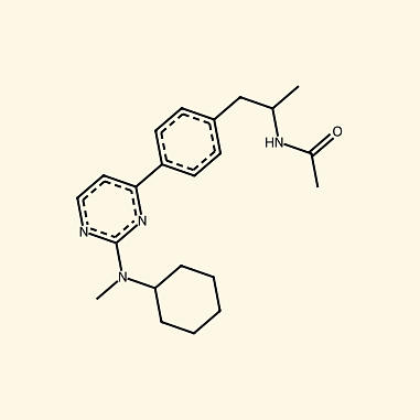 CC(=O)NC(C)Cc1ccc(-c2ccnc(N(C)C3CCCCC3)n2)cc1